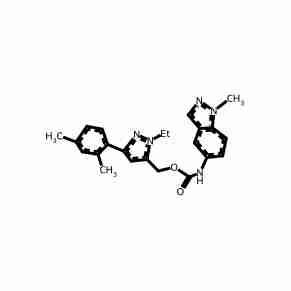 CCn1nc(-c2ccc(C)cc2C)cc1COC(=O)Nc1ccc2c(cnn2C)c1